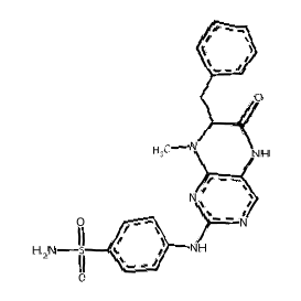 CN1c2nc(Nc3ccc(S(N)(=O)=O)cc3)ncc2NC(=O)C1Cc1ccccc1